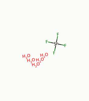 O.O.O.O.O.[F][Sn]([F])([F])[F]